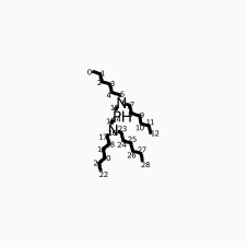 CCCCCCN(CCCCCC)CPCN(CCCCCC)CCCCCC